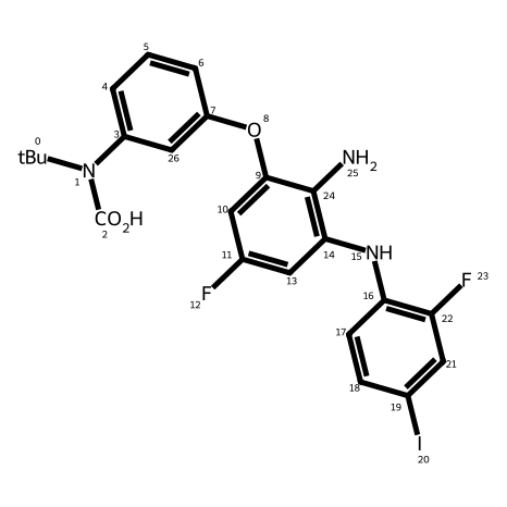 CC(C)(C)N(C(=O)O)c1cccc(Oc2cc(F)cc(Nc3ccc(I)cc3F)c2N)c1